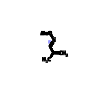 C=C(C)/C=N/OC